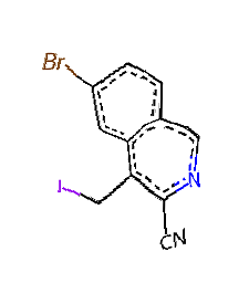 N#Cc1ncc2ccc(Br)cc2c1CI